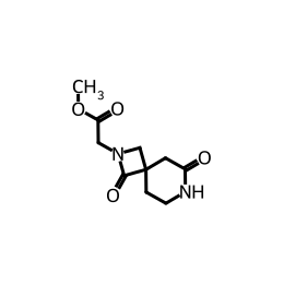 COC(=O)CN1CC2(CCNC(=O)C2)C1=O